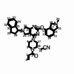 C=CC(=O)N1CCN(c2nc(Oc3cccc4c3CN(C)C4)nc3c2CN(C2CCc4ccccc42)C3)C[C@@H]1CC#N